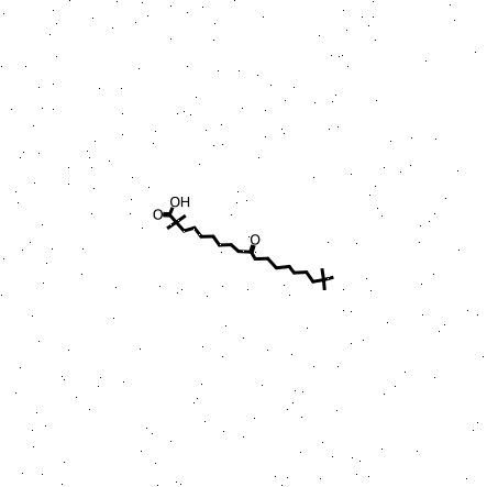 CC(C)(C)CCCCCCCC(=O)CCCCCCCC(C)(C)C(=O)O